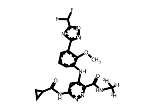 [2H]C([2H])([2H])NC(=O)c1nnc(NC(=O)C2CC2)cc1Nc1cccc(-c2noc(C(F)F)n2)c1OC